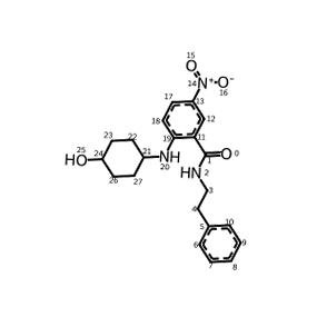 O=C(NCCc1ccccc1)c1cc([N+](=O)[O-])ccc1NC1CCC(O)CC1